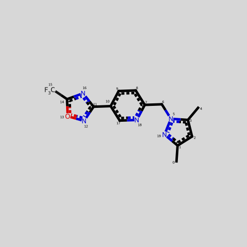 Cc1cc(C)n(Cc2ccc(-c3noc(C(F)(F)F)n3)cn2)n1